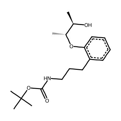 C[C@@H](O)[C@@H](C)Oc1ccccc1CCCNC(=O)OC(C)(C)C